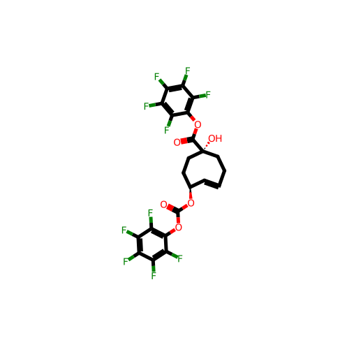 O=C(Oc1c(F)c(F)c(F)c(F)c1F)O[C@@H]1/C=C/CC[C@](O)(C(=O)Oc2c(F)c(F)c(F)c(F)c2F)CC1